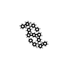 Cc1ccc(-c2ccccc2)cc1N(c1ccc2c3cccc4c5cc6c(cc5n(c2c1)c34)c1cccc2c3ccc(N(c4cc(-c5ccccc5)ccc4C)c4cccc5c4oc4ccccc45)cc3n6c21)c1cccc2c1oc1ccccc12